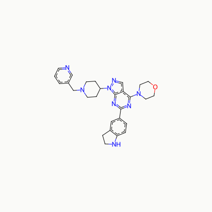 c1cncc(CN2CCC(n3ncc4c(N5CCOCC5)nc(-c5ccc6c(c5)CCN6)nc43)CC2)c1